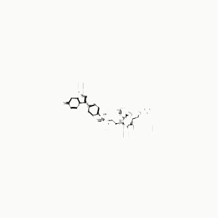 CSCC[C@H](NN(CCNS(=O)(=O)c1ccc(-c2c[nH]c3cc(F)ccc23)cc1)[SH](=O)=O)C(=O)O